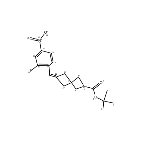 CC(C)(C)OC(=O)N1CC2(CC(=Cc3ccc([N+](=O)[O-])cc3F)C2)C1